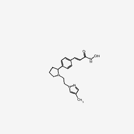 Cc1cnn(CCN2CCCC2c2ccc(C=CC(=O)NO)cc2)c1